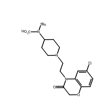 CC(C)(C)N(C(=O)O)C1CCN(CCN2C(=O)COc3ccc(Cl)cc32)CC1